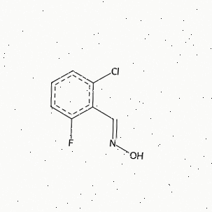 ON=Cc1c(F)cccc1Cl